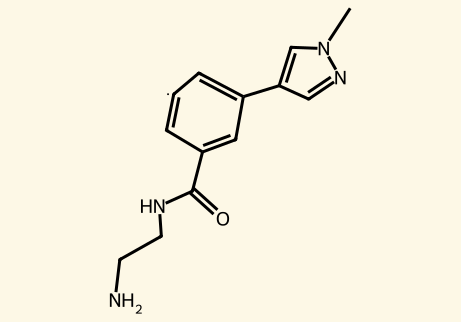 Cn1cc(-c2c[c]cc(C(=O)NCCN)c2)cn1